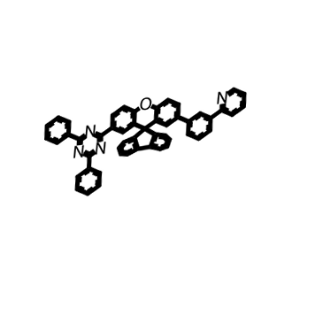 c1ccc(-c2nc(-c3ccccc3)nc(-c3ccc4c(c3)C3(c5cc(-c6cccc(-c7ccccn7)c6)ccc5O4)c4ccccc4-c4ccccc43)n2)cc1